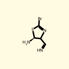 N=CC1N=C(Br)S[C@@H]1N